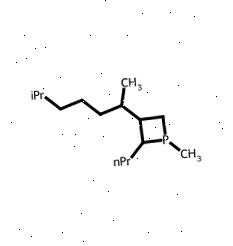 CCCC1C(C(C)CCCC(C)C)CP1C